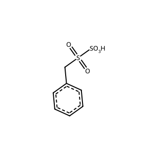 O=S(=O)(O)S(=O)(=O)Cc1ccccc1